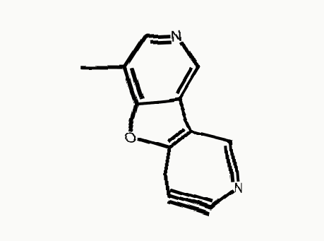 Cc1cncc2c1oc1c#cncc12